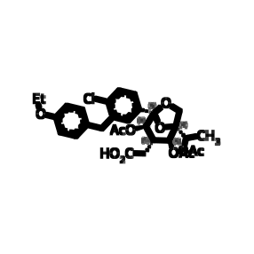 CCOc1ccc(Cc2cc([C@]34OC[C@](C(C)OC(C)=O)(O3)[C@@H](OC(C)=O)[C@H](CC(=O)O)[C@H]4OC(C)=O)ccc2Cl)cc1